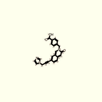 O=C(O)c1ccc(Cn2cc3cc(C#CCn4ccnc4)ccc3cc2=O)cc1